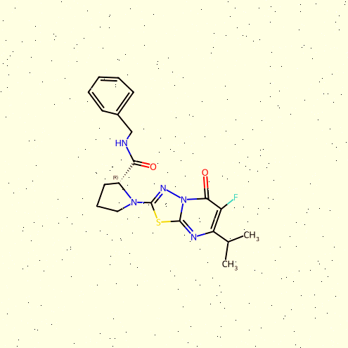 CC(C)c1nc2sc(N3CCC[C@@H]3C(=O)NCc3ccccc3)nn2c(=O)c1F